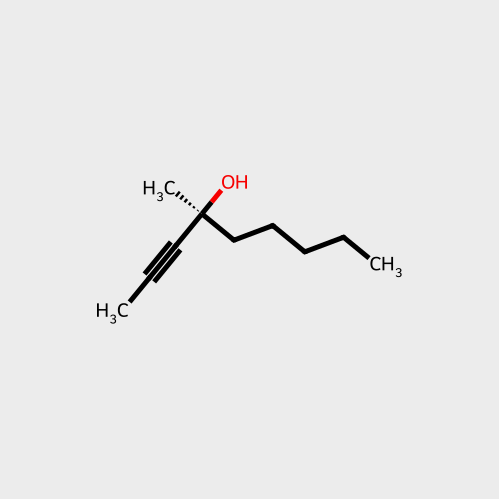 CC#C[C@@](C)(O)CCCCC